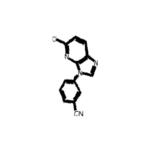 N#Cc1cccc(-n2cnc3ccc(Cl)nc32)c1